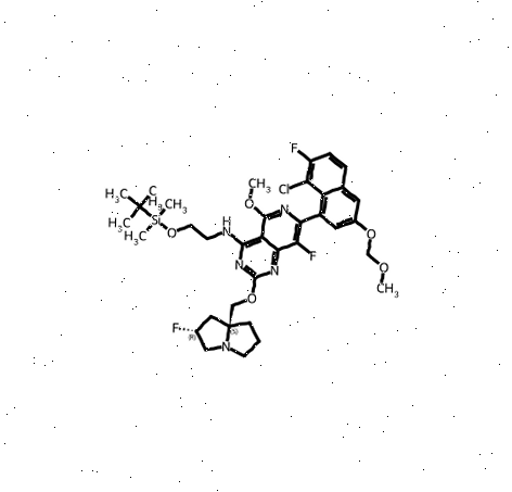 COCOc1cc(-c2nc(OC)c3c(NCCO[Si](C)(C)C(C)(C)C)nc(OC[C@@]45CCCN4C[C@H](F)C5)nc3c2F)c2c(Cl)c(F)ccc2c1